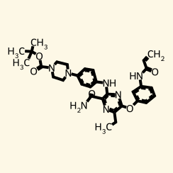 C=CC(=O)Nc1cccc(Oc2nc(Nc3ccc(N4CCN(C(=O)OC(C)(C)C)CC4)cc3)c(C(N)=O)nc2CC)c1